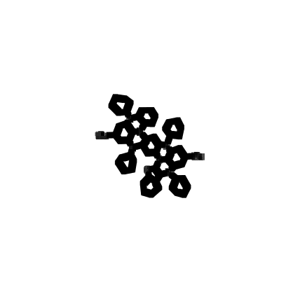 CC(C)(C)c1cc2c3c(c1)N(c1ccccc1)c1cc4c(cc1B3c1ccccc1N2c1ccccc1)N(c1ccccc1)c1cc(C(C)(C)C)cc2c1B4c1oc3ccccc3c1N2c1ccccc1